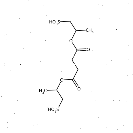 CC(CS(=O)(=O)O)OC(=O)CCC(=O)OC(C)CS(=O)(=O)O